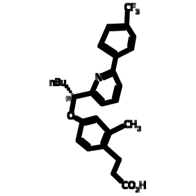 CCCC[C@@H](Oc1ccc(CCC(=O)O)c(C)c1)c1cccc(-c2ccc(C(F)(F)F)cc2)n1